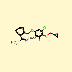 CO/N=C(/C(=O)O)c1ccccc1COc1cc(Cl)c(OCC2CC2)c(Cl)c1